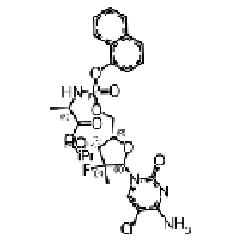 CC(C)OC(=O)[C@@H](C)N[P@@](=O)(OC[C@H]1O[C@@H](n2cc(Cl)c(N)nc2=O)[C@](C)(F)[C@@H]1O)Oc1cccc2ccccc12